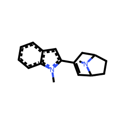 CN1C2C=C(c3cc4ccccc4n3C)CC1CC2